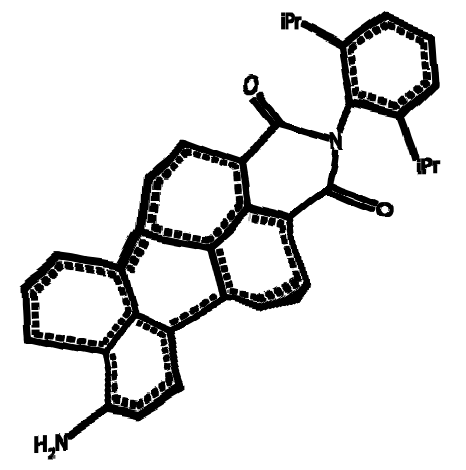 CC(C)c1cccc(C(C)C)c1N1C(=O)c2ccc3c4cccc5c(N)ccc(c6ccc(c2c36)C1=O)c54